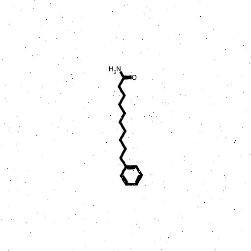 NC(=O)CCCCCCCCCc1ccccc1